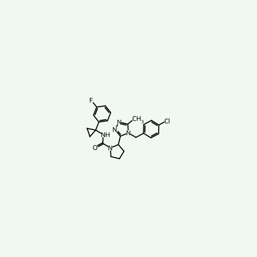 Cc1nnc(C2CCCN2C(=O)NC2(c3cccc(F)c3)CC2)n1Cc1ccc(Cl)cc1